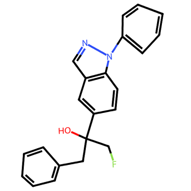 OC(CF)(Cc1ccccc1)c1ccc2c(cnn2-c2ccccc2)c1